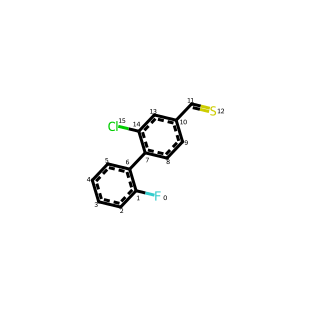 Fc1ccccc1-c1ccc(C=S)cc1Cl